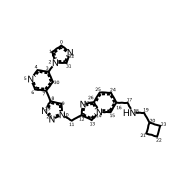 c1cn(-c2cncc(-c3cn(Cc4cn5cc(CNCC6CCC6)ccc5n4)nn3)c2)cn1